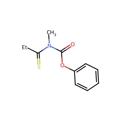 CCC(=S)N(C)C(=O)Oc1ccccc1